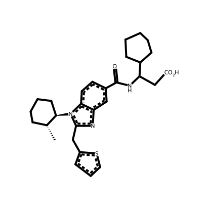 C[C@@H]1CCCC[C@H]1n1c(Cc2cccs2)nc2cc(C(=O)NC(CC(=O)O)C3CCCCC3)ccc21